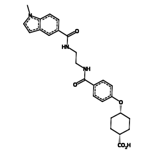 Cn1ccc2cc(C(=O)NCCNC(=O)c3ccc(O[C@H]4CC[C@@H](C(=O)O)CC4)cc3)ccc21